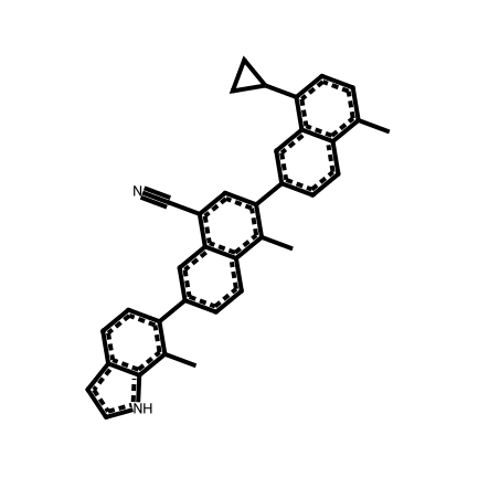 Cc1ccc(C2CC2)c2cc(-c3cc(C#N)c4cc(-c5ccc6cc[nH]c6c5C)ccc4c3C)ccc12